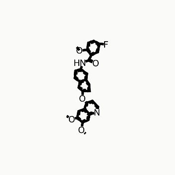 COc1cc2nccc(Oc3ccc4cc(NC(=O)c5cc(F)ccc5OC)ccc4c3)c2cc1OC